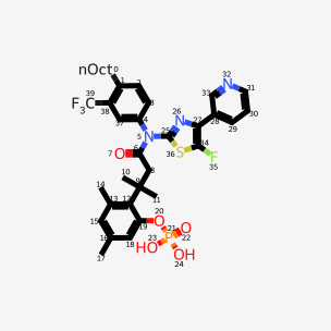 CCCCCCCCc1ccc(N(C(=O)CC(C)(C)c2c(C)cc(C)cc2OP(=O)(O)O)c2nc(-c3cccnc3)c(F)s2)cc1C(F)(F)F